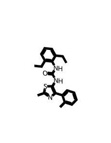 CCc1cccc(CC)c1NC(=O)Nc1sc(C)nc1-c1ccccc1C